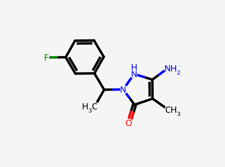 Cc1c(N)[nH]n(C(C)c2cccc(F)c2)c1=O